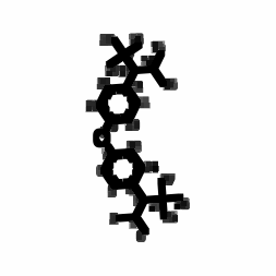 CC(C)C(c1ccc(Oc2ccc(C(C(C)C)C(C)(C)C)cc2)cc1)C(C)(C)C